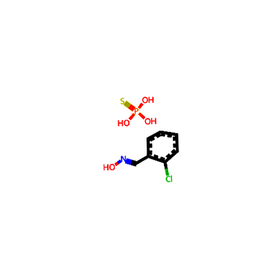 ON=Cc1ccccc1Cl.OP(O)(O)=S